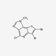 Cn1cnc2c(Cl)nc3c(Br)c(Br)sc3c21